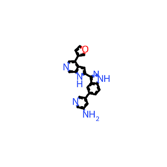 Nc1cncc(-c2ccc3[nH]nc(-c4cc5c(-c6ccoc6)cncc5[nH]4)c3c2)c1